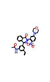 C=Cc1cc(NC(C)=O)cc(-c2nn(-c3cc(N4CCOCC4)ccc3[N+](=O)[O-])c(=O)c3ccccc23)c1